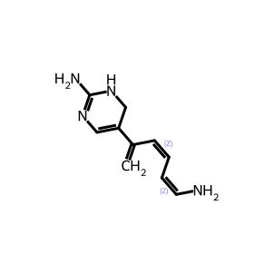 C=C(/C=C\C=C/N)C1=CN=C(N)NC1